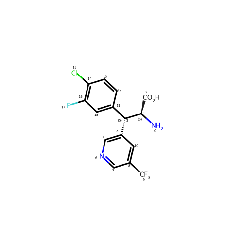 N[C@H](C(=O)O)[C@H](c1cncc(C(F)(F)F)c1)c1ccc(Cl)c(F)c1